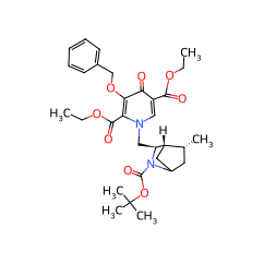 CCOC(=O)c1cn(C[C@H]2[C@H]3CC(C[C@H]3C)N2C(=O)OC(C)(C)C)c(C(=O)OCC)c(OCc2ccccc2)c1=O